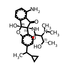 CC(c1ccc2c(c1)O[C@]1(O)c3cccc(N)c3C(=O)[C@]21NC(=O)C([C@H](C)O)N(C)C)C1CC1